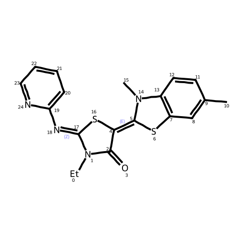 CCN1C(=O)/C(=C2\Sc3cc(C)ccc3N2C)S/C1=N\c1ccccn1